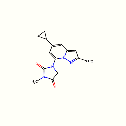 CN1C(=O)CN(c2cc(C3CC3)cc3cc(C=O)nn23)C1=O